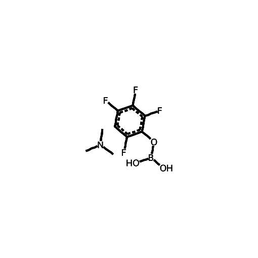 CN(C)C.OB(O)Oc1c(F)cc(F)c(F)c1F